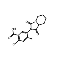 O=C(O)c1cc(N2C(=O)C3CCCCN3C2=O)c(F)cc1Cl